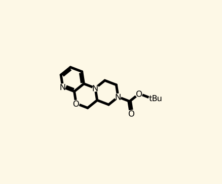 CC(C)(C)OC(=O)N1CCN2c3cccnc3OCC2C1